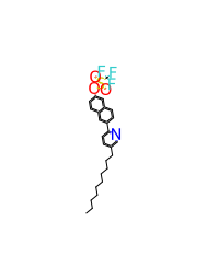 CCCCCCCCCCc1ccc(-c2ccc3cc(OS(=O)(=O)C(F)(F)F)ccc3c2)nc1